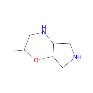 CC1CNC2CNCC2O1